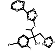 CC(Sc1nc(-c2cnccn2)ns1)C(O)(Cn1cncn1)c1ccc(F)cc1F